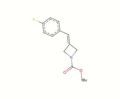 CC(C)(C)OC(=O)N1CC(=Cc2ccc(F)cc2)C1